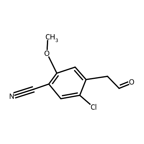 COc1cc(CC=O)c(Cl)cc1C#N